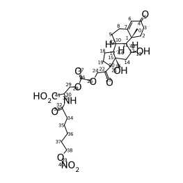 C[C@]12CCC(=O)C=C1CC[C@@H]1[C@@H]2[C@@H](O)C[C@@]2(C)[C@H]1CC[C@]2(O)C(=O)COC(=O)OCC(NC(=O)CCCCCO[N+](=O)[O-])C(=O)O